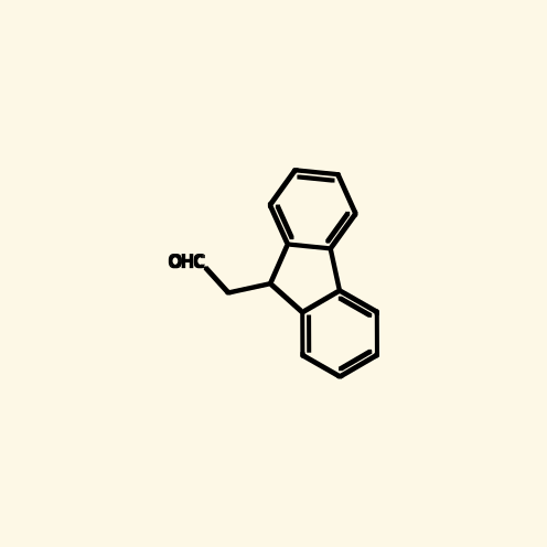 O=CCC1c2ccccc2-c2ccccc21